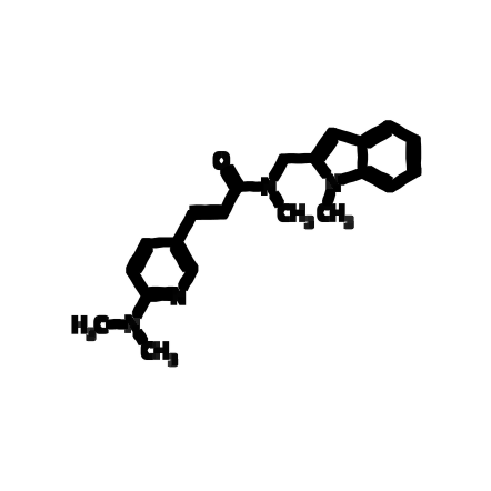 CN(Cc1cc2ccccc2n1C)C(=O)C=Cc1ccc(N(C)C)nc1